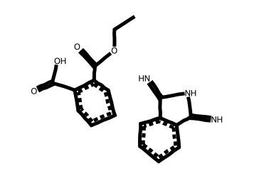 CCOC(=O)c1ccccc1C(=O)O.N=C1NC(=N)c2ccccc21